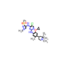 Cc1cc(Nc2ncc(Cl)c(Nc3cn(C)nc3S(=O)(=O)C(C)C)n2)c(OC2CC2)cc1C1CCN(C)C(C)(C)C1